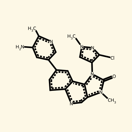 Cc1ncc(-c2ccc3ncc4c(c3c2)n(-c2cn(C)nc2Cl)c(=O)n4C)cc1N